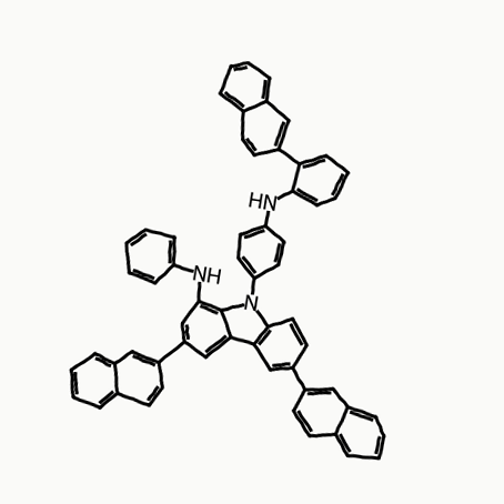 c1ccc(Nc2cc(-c3ccc4ccccc4c3)cc3c4cc(-c5ccc6ccccc6c5)ccc4n(-c4ccc(Nc5ccccc5-c5ccc6ccccc6c5)cc4)c23)cc1